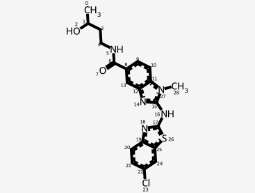 CC(O)CCNC(=O)c1ccc2c(c1)nc(Nc1nc3ccc(Cl)cc3s1)n2C